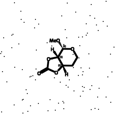 CO[C@@H]1OCC[C@@H]2OC(=O)O[C@H]12